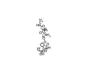 CNC(=O)CNC(=O)C(C)(N)CN1CC(Oc2ccc([C@H]3C=C[C@H]3B(O)O)c(O)c2C(=O)O)C1